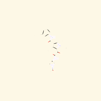 CC(=O)N1CC(C)(NC(=O)C(=O)c2c(C)c(C(=O)Nc3ccc(F)c(C)c3)c(C)n2C)C1